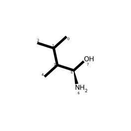 CC(C)C(C)[C@H](N)O